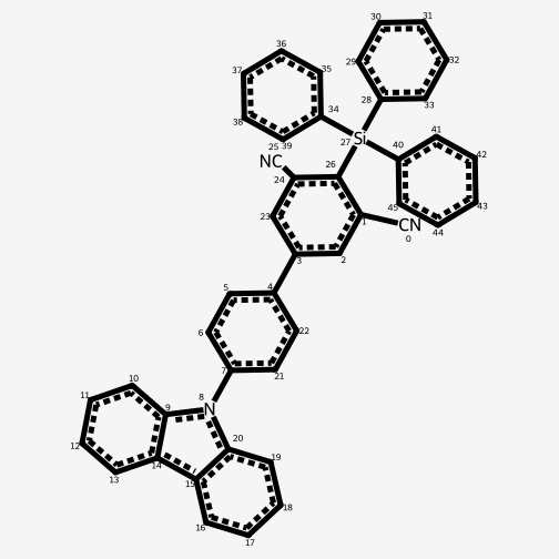 N#Cc1cc(-c2ccc(-n3c4ccccc4c4ccccc43)cc2)cc(C#N)c1[Si](c1ccccc1)(c1ccccc1)c1ccccc1